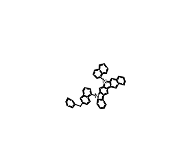 c1ccc(Cc2ccc3c(-n4c5ccccc5c5cc6c7cc8ccccc8cc7n(-c7cccc8ccccc78)c6cc54)cccc3c2)cc1